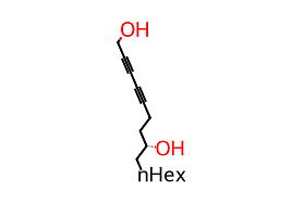 CCCCCCC[C@@H](O)CCC#CC#CCO